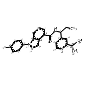 CCC(NC(=O)c1cncc2c1cnn2-c1ccc(F)cc1)c1ccnc([C@H](C)O)c1